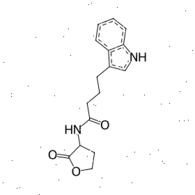 O=C(CCCc1c[nH]c2ccccc12)NC1CCOC1=O